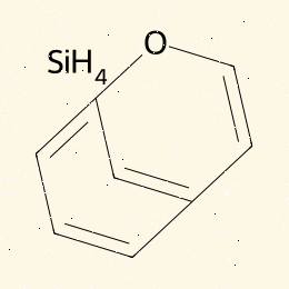 C1=Cc2cccc(c2)O1.[SiH4]